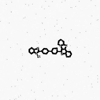 CCn1c(-c2ccc(-c3ccc(-c4nc5ccccc5c5nc6ccccn6c45)cc3)cc2)nc2ccccc21